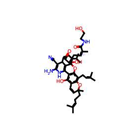 CC(C)=CCCC1(C)C=Cc2c(O)c3c(c(CC=C(C)C)c2O1)OC12C4=C3NC(N)=C(C#N)C4C(CC1C(C)C)C(=O)C2(O)C/C=C(/C)C(=O)NCCO